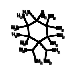 BC(B)C1(C(B)B)C(B)(B)C(B)(B)C(B)(B)C(B)(B)C1(B)B